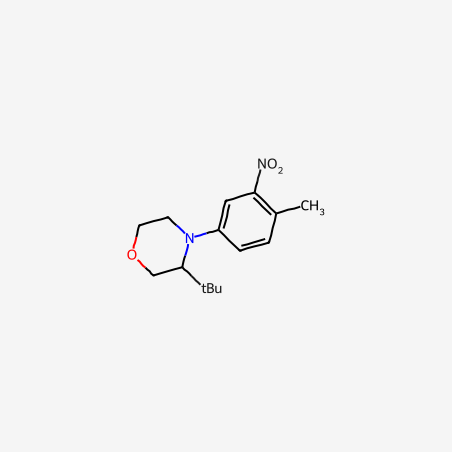 Cc1ccc(N2CCOCC2C(C)(C)C)cc1[N+](=O)[O-]